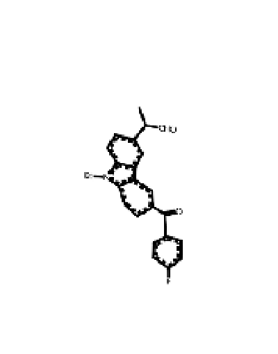 CCn1c2ccc(C(=O)c3ccc(F)cc3)cc2c2cc(C(C)C=O)ccc21